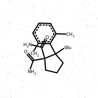 Cc1cccc(C)c1C1(C(C)(C)C)CCCC1(C(N)=O)C(N)=O